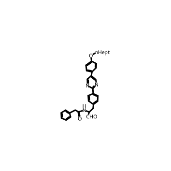 CCCCCCCOc1ccc(-c2cnc(-c3ccc(CC(C=O)NC(=O)Cc4ccccc4)cc3)nc2)cc1